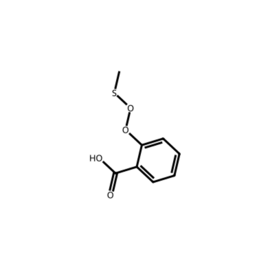 CSOOc1ccccc1C(=O)O